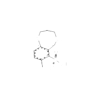 Cc1ccc2c(c1S(=O)(=O)O)CSCCCS2